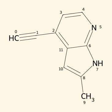 C#Cc1ccnc2[nH]c(C)cc12